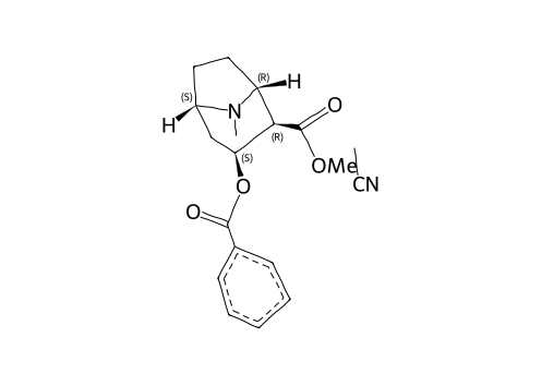 CC#N.COC(=O)[C@H]1[C@@H](OC(=O)c2ccccc2)C[C@@H]2CC[C@H]1N2C